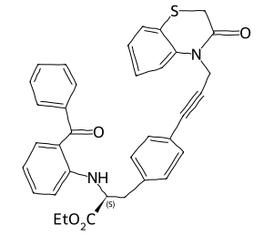 CCOC(=O)[C@H](Cc1ccc(C#CCN2C(=O)CSc3ccccc32)cc1)Nc1ccccc1C(=O)c1ccccc1